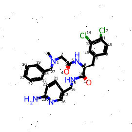 CN(CC(=O)N[C@@H](Cc1ccc(Cl)c(Cl)c1)C(=O)NCc1ccc(N)nc1)Cc1ccccc1